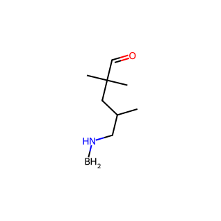 BNCC(C)CC(C)(C)C=O